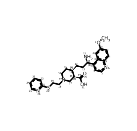 COc1ccc2nccc([C@H](N)CC[C@@H]3CCN(CCSc4ccccn4)C[C@@H]3C(=O)O)c2c1